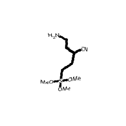 CO[Si](CCC(C#N)CCN)(OC)OC